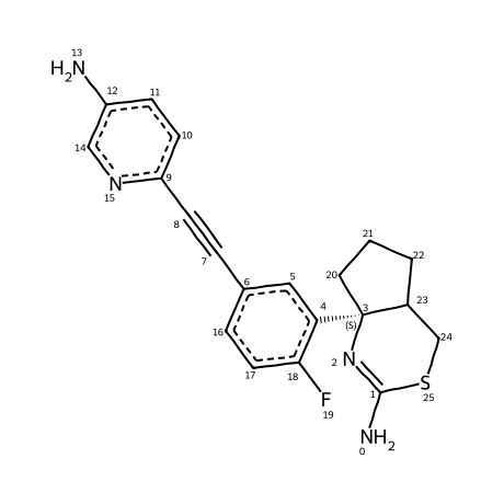 NC1=N[C@@]2(c3cc(C#Cc4ccc(N)cn4)ccc3F)CCCC2CS1